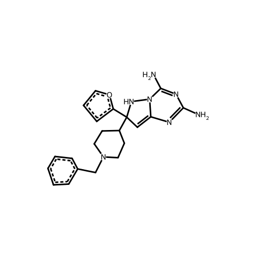 NC1=NC2=CC(c3ccco3)(C3CCN(Cc4ccccc4)CC3)NN2C(N)=N1